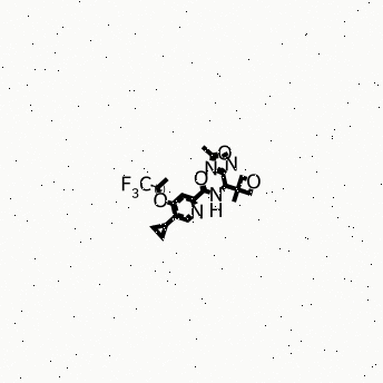 Cc1nc(C(NC(=O)c2cc(O[C@@H](C)C(F)(F)F)c(C3CC3)cn2)C2(C)COC2)no1